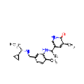 CCC(C)C(Nc1cc(CNC(C(=O)O)C2CC2)ccc1C)c1c[nH]c(=O)c(C)c1